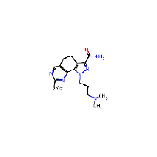 CSc1ncc2c(n1)-c1c(c(C(N)=O)nn1CCCN(C)C)CC2